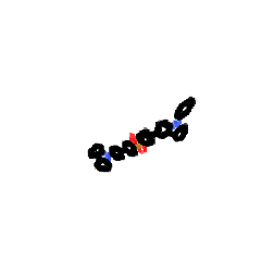 O=S(=O)(c1ccc(-c2ccc(-n3c4ccccc4c4ccccc43)cc2)cc1)c1ccc(-c2ccc3c(c2)c2ccccc2n3-c2ccccc2)cc1